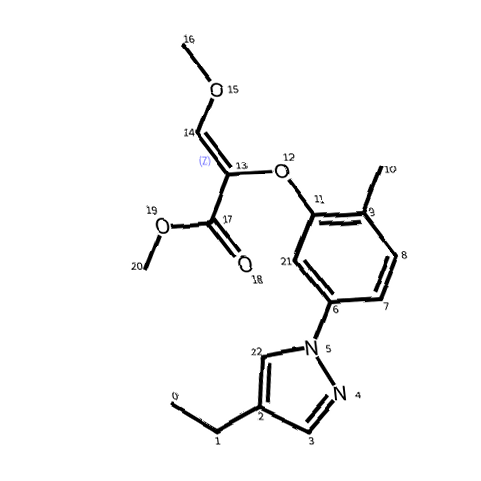 CCc1cnn(-c2ccc(C)c(O/C(=C\OC)C(=O)OC)c2)c1